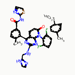 Cc1ccc(C(=O)Nc2nccs2)cc1-c1nc(NCc2ncc[nH]2)nc2c1ccc(=O)n2-c1c(F)cccc1F.Cc1ccc(S(=O)(=O)O)cc1